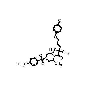 CC1CN(S(=O)(=O)c2ccc(C(=O)O)cc2)CCN1C(=O)C(C)(C)CCCOc1ccc(Cl)cc1